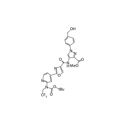 COC(=O)c1nn(-c2ccc(CO)cc2)cc1NC(=O)c1coc(-c2ccnc(N(CC(F)(F)F)C(=O)OC(C)(C)C)c2)n1